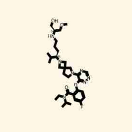 CCN(C(=O)c1cc(F)ccc1Oc1nncnc1N1CCC2(C1)CN([C@H](CCCN[C@@H](CO)COC)C(C)C)C2)C(C)C